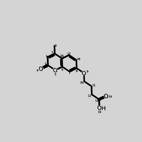 Cc1cc(=O)oc2cc(OCCCC(=O)O)ccc12